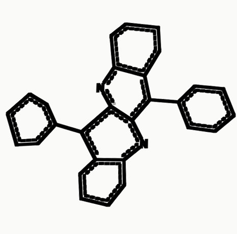 c1ccc(-c2c3ccccc3nc3c(-c4ccccc4)c4ccccc4nc23)cc1